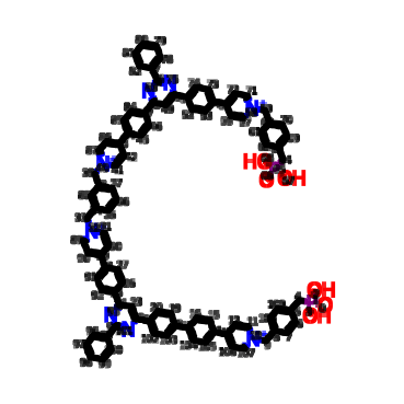 O=P(O)(O)Cc1ccc(C[n+]2ccc(-c3ccc(-c4ccc(-c5cc(-c6ccc(-c7cc[n+](Cc8cccc(C[n+]9ccc(-c%10ccc(-c%11cc(-c%12ccc(-c%13cc[n+](Cc%14ccc(CP(=O)(O)O)cc%14)cc%13)cc%12)nc(-c%12ccccc%12)n%11)cc%10)cc9)c8)cc7)cc6)nc(-c6ccccc6)n5)cc4)cc3)cc2)cc1